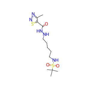 Cc1nnsc1C(=O)NNCCCCCNS(=O)(=O)C(C)(C)C